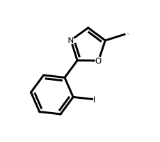 [CH2]c1cnc(-c2ccccc2I)o1